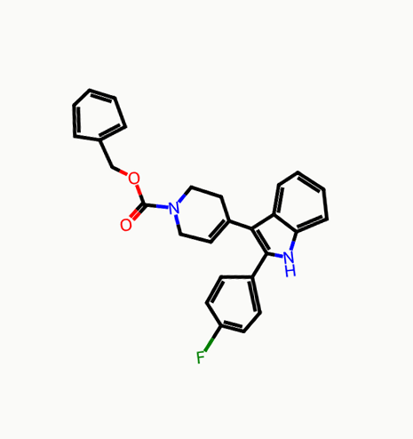 O=C(OCc1ccccc1)N1CC=C(c2c(-c3ccc(F)cc3)[nH]c3ccccc23)CC1